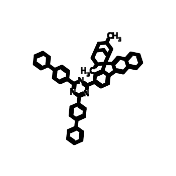 CC1CC2CC(C)C3(c4cc(-c5nc(-c6ccc(-c7ccccc7)cc6)nc(-c6ccc(-c7ccccc7)cc6)n5)ccc4-c4cc5ccccc5cc43)C(C1)C2